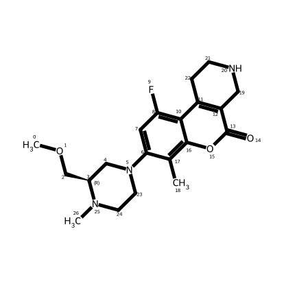 COC[C@H]1CN(c2cc(F)c3c4c(c(=O)oc3c2C)CNCC4)CCN1C